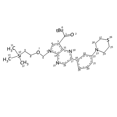 CC(C)(C)C(=O)c1cn(COCC[Si](C)(C)C)c2ncc(-c3cccc(N4CCSCC4)c3)nc12